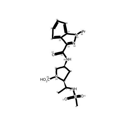 CC(NS(C)(=O)=O)[C@@H]1C[C@H](NC(=O)c2nn(C(C)C)c3ccccc23)CN1C(=O)O